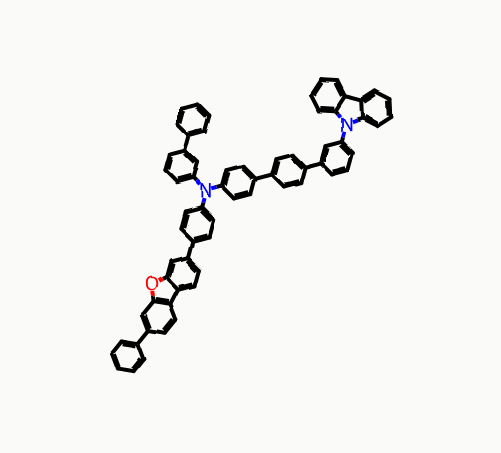 c1ccc(-c2cccc(N(c3ccc(-c4ccc(-c5cccc(-n6c7ccccc7c7ccccc76)c5)cc4)cc3)c3ccc(-c4ccc5c(c4)oc4cc(-c6ccccc6)ccc45)cc3)c2)cc1